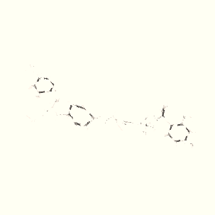 CCOC(=O)[C@H](Cc1ccc(OCCN[C@H]2C3CN(C(=O)c4ccc(F)cc4F)C[C@@H]32)cc1)Oc1ccc(C(C)(C)C)cc1